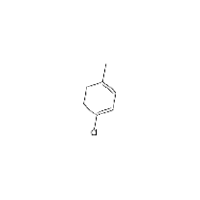 CC1=CC=C(Cl)CC1